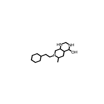 CC1CC2C(O)NCNC2CN1CCC1CCCCC1